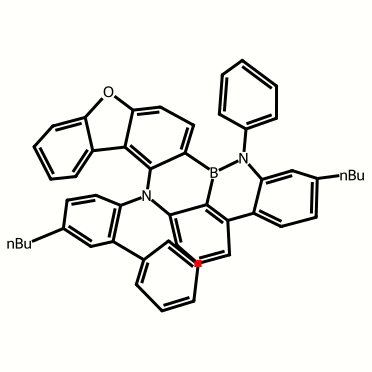 CCCCc1ccc(N2c3cccc4c3B(c3ccc5oc6ccccc6c5c32)N(c2ccccc2)c2cc(CCCC)ccc2-4)c(-c2ccccc2)c1